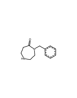 O=C1CCNCCN1Cc1ccccc1